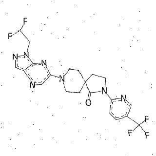 O=C1N(c2ccc(C(F)(F)F)cn2)CCC12CCN(c1cnc3cnn(CC(F)F)c3n1)CC2